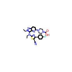 CCN(c1nc(-c2ccc(F)cc2)c(C#N)s1)c1c2nc(N3CCN(C(=O)O)CC3)ccc2nn1CC